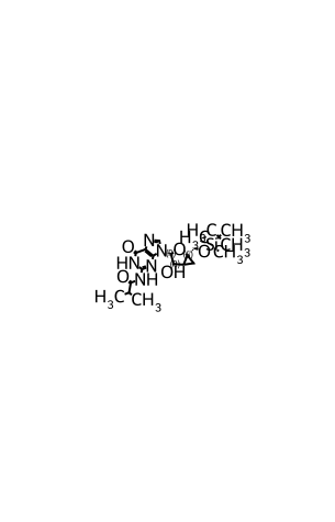 CC(C)C(=O)Nc1nc2c(ncn2[C@@H]2O[C@@]3(CO[Si](C)(C)C(C)(C)C)CC3[C@H]2O)c(=O)[nH]1